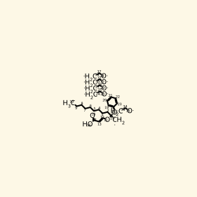 [CH2]C(CCCCCCCCC)(OC=CC(=O)O)Oc1ccccc1.[CH2]C[O].[CH2]C[O].[CH2]C[O].[CH2]C[O].[CH2]C[O]